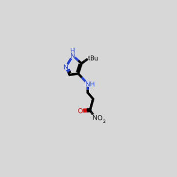 CC(C)(C)c1[nH]ncc1NCCC(=O)[N+](=O)[O-]